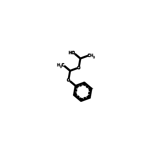 CC(O)OC(C)Oc1c[c]ccc1